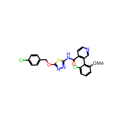 COc1cccc(Cl)c1-c1cnccc1C(=O)Nc1nnc(OCc2ccc(Cl)cc2)s1